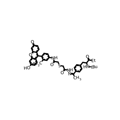 CCC(=O)C(Cc1ccc(C(C)=NNC(=O)CSCC(=O)Nc2ccc(-c3c4ccc(=O)cc-4oc4cc(O)ccc34)c(C(=O)O)c2)cc1)NC(C)(C)C